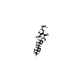 CCC(=S)C(CCN)=C(C)C(=O)OC(F)(F)C(F)(F)C(F)(F)C(F)(F)C(F)(F)C(F)(F)F